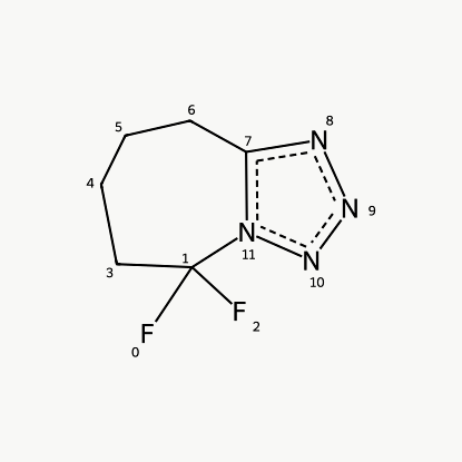 FC1(F)CCCCc2nnnn21